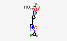 CC(C)[C@@H](NS(=O)(=O)N1CCN(c2ccc(C#Cc3ccnc(C(=O)NCc4cc(F)cc(F)c4)c3)cc2)CC1)C(=O)O